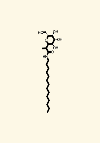 CCCCCCCCCCCCCCNC(=O)C(C)C1O[C@H](CO)[C@H](O)[C@H](O)[C@H]1O